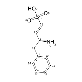 N[C@H](C=CS(=O)(=O)O)Cc1ccccc1